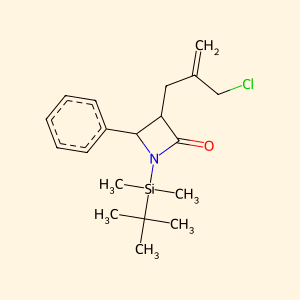 C=C(CCl)CC1C(=O)N([Si](C)(C)C(C)(C)C)C1c1ccccc1